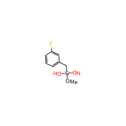 CO[Si](O)(O)Cc1cccc(F)c1